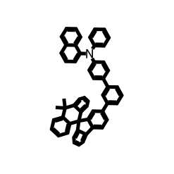 CC1(C)c2ccccc2C2(c3ccccc3-c3ccc(-c4cccc(-c5ccc(N(c6ccccc6)c6cccc7ccccc67)cc5)c4)cc32)c2ccccc21